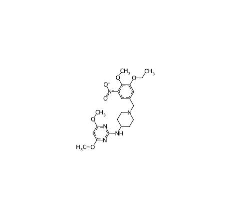 CCOc1cc(CN2CCC(Nc3nc(OC)cc(OC)n3)CC2)cc([N+](=O)[O-])c1OC